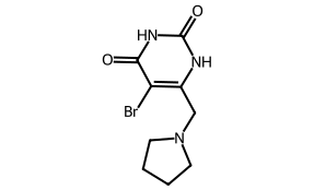 O=c1[nH]c(CN2CCCC2)c(Br)c(=O)[nH]1